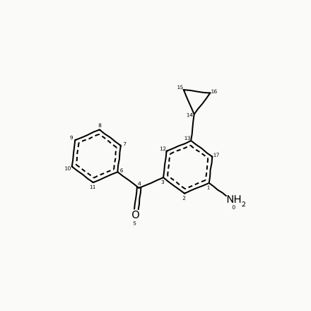 Nc1cc(C(=O)c2ccccc2)cc(C2CC2)c1